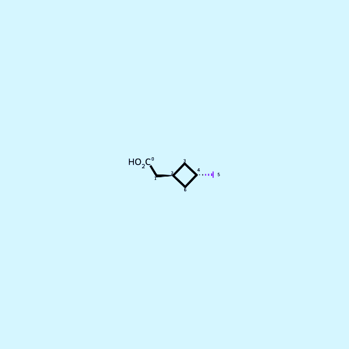 O=C(O)C[C@H]1C[C@H](I)C1